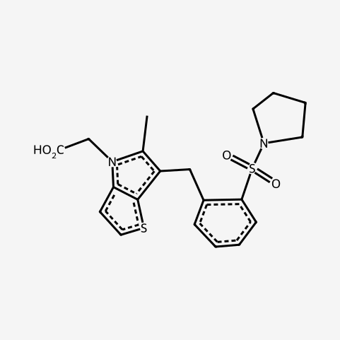 Cc1c(Cc2ccccc2S(=O)(=O)N2CCCC2)c2sccc2n1CC(=O)O